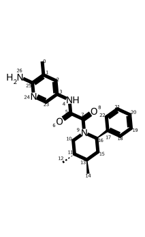 Cc1cc(NC(=O)C(=O)N2C[C@@H](C)[C@H](C)C[C@@H]2c2ccccc2)cnc1N